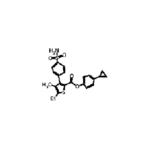 CCc1sc(C(=O)Oc2ccc(C3CC3)cc2)c(-c2ccc(S(N)(=O)=O)cc2)c1C